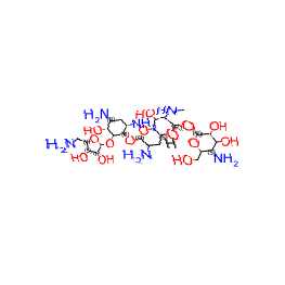 CNC1C(O)C2O[C@H](O[C@@H]3C(N)C[C@@H](N)C(O)C3OC3O[C@H](CN)[C@@H](O)[C@H]3O)C(N)C[C@@H]2O[C@@H]1O[C@H]1OC(CO)[C@@H](N)C(O)C1O